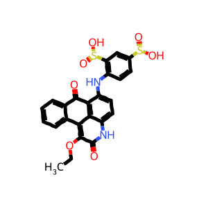 CCOc1c2c3c(c(Nc4ccc(S(=O)O)cc4S(=O)O)ccc3[nH]c1=O)C(=O)c1ccccc1-2